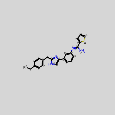 CC(C)Cc1ccc(Cc2nc(-c3cccc(/N=C(\N)c4cccs4)c3)c[nH]2)cc1